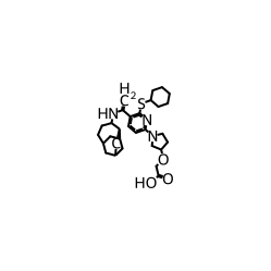 C=C(NC1CCC2CC3CC(C2)C1C3)c1ccc(N2CCC(OCC(=O)O)C2)nc1SC1CCCCC1